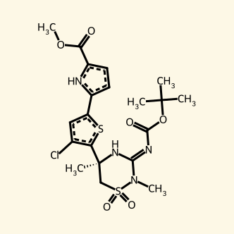 COC(=O)c1ccc(-c2cc(Cl)c([C@]3(C)CS(=O)(=O)N(C)/C(=N/C(=O)OC(C)(C)C)N3)s2)[nH]1